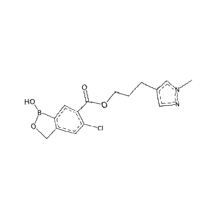 Cn1cc(CCCOC(=O)c2cc3c(cc2Cl)COB3O)cn1